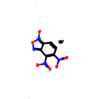 O=[N+]([O-])c1ccc2c(no[n+]2[O-])c1[N+](=O)[O-].[Rb+]